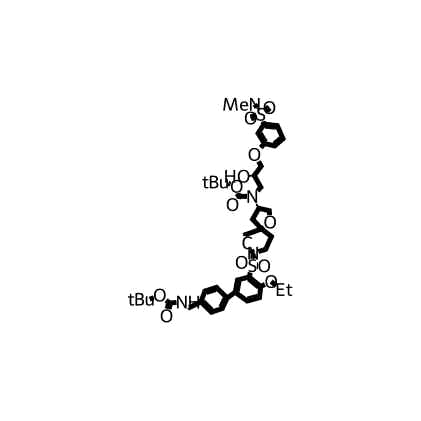 CCOc1ccc(-c2ccc(CNC(=O)OC(C)(C)C)cc2)cc1S(=O)(=O)N1CCC2(CC1)C[C@H](N(C[C@H](O)COc1cccc(S(=O)(=O)NC)c1)C(=O)OC(C)(C)C)CO2